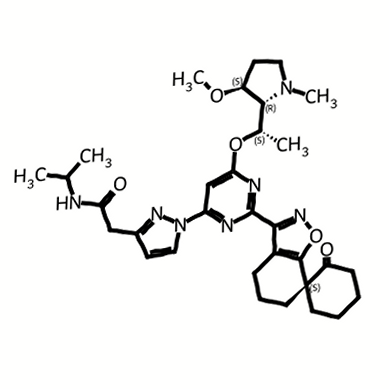 CO[C@H]1CCN(C)[C@@H]1[C@H](C)Oc1cc(-n2ccc(CC(=O)NC(C)C)n2)nc(-c2noc3c2CCC[C@@]32CCCCC2=O)n1